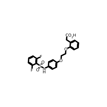 O=C(O)Cc1ccccc1OCCOc1ccc(NS(=O)(=O)c2c(F)cccc2F)cc1